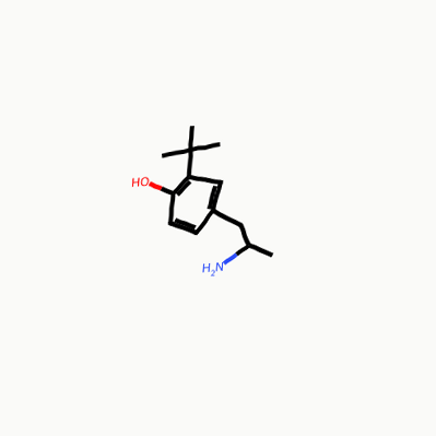 CC(N)Cc1ccc(O)c(C(C)(C)C)c1